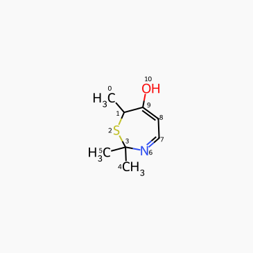 CC1SC(C)(C)N=CC=C1O